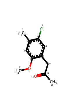 COc1cc(C)c(Cl)cc1CC(C)=O